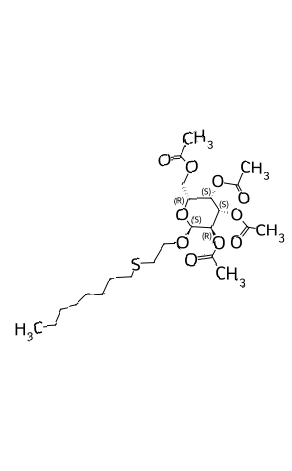 CCCCCCCCSCCO[C@H]1O[C@H](COC(C)=O)[C@H](OC(C)=O)[C@H](OC(C)=O)[C@H]1OC(C)=O